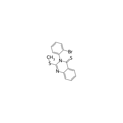 CSc1nc2ccccc2c(=S)n1-c1ccccc1Br